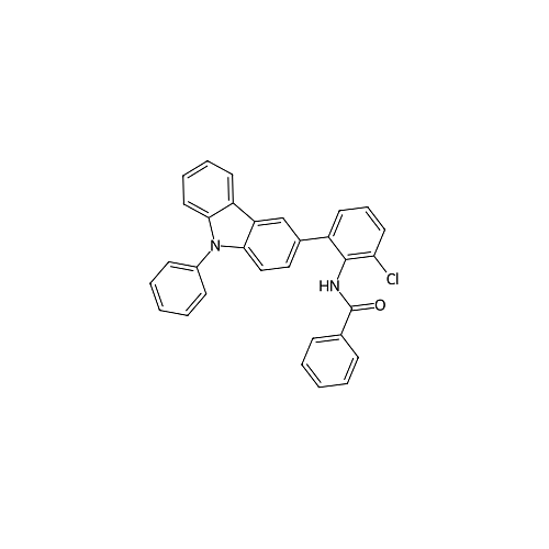 O=C(Nc1c(Cl)cccc1-c1ccc2c(c1)c1ccccc1n2-c1ccccc1)c1ccccc1